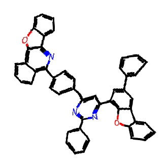 c1ccc(-c2cc(-c3cc(-c4ccc(-c5nc6c7ccccc7oc6c6ccccc56)cc4)nc(-c4ccccc4)n3)c3oc4ccccc4c3c2)cc1